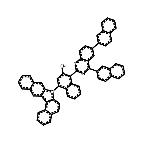 N#Cc1cc(-n2c3cc4ccccc4cc3c3c4ccccc4ccc32)c2ccccc2c1-c1nc(-c2ccc3ccccc3c2)c2cc(-c3ccc4ccccc4c3)ccc2n1